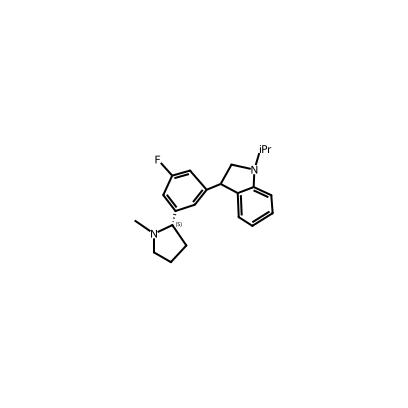 CC(C)N1CC(c2cc(F)cc([C@@H]3CCCN3C)c2)c2ccccc21